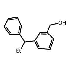 CCC(c1ccccc1)c1cccc(CO)c1